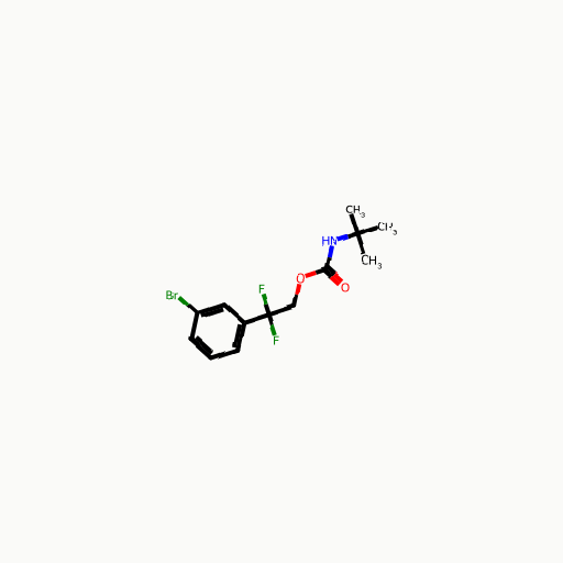 CC(C)(C)NC(=O)OCC(F)(F)c1cccc(Br)c1